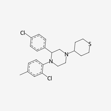 Cc1ccc(N2CCN(C3CCSCC3)CC2c2ccc(Cl)cc2)c(Cl)c1